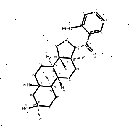 COc1ccccc1C(=O)[C@H]1CC[C@@]2(C)[C@@H]3CC[C@H]4C[C@](C)(O)CC[C@]4(C)[C@H]3CC[C@]12C